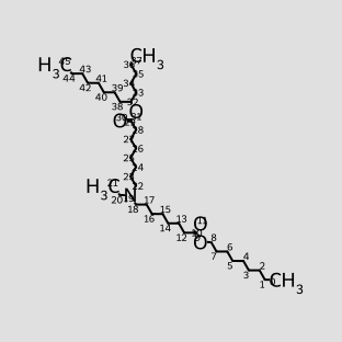 CCCCCCCCCOC(=O)CCCCCCCN(CC)CCCCCCCC(=O)OC(CCCCC)CCCCCCCC